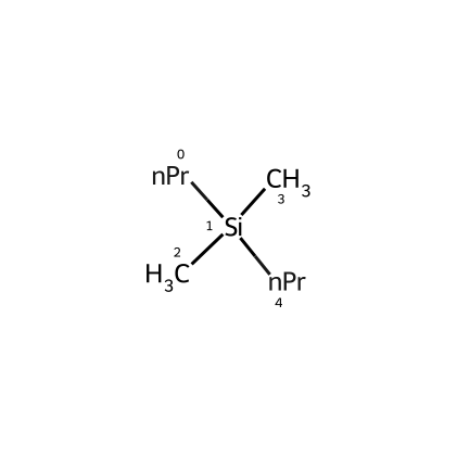 CCC[Si](C)(C)CCC